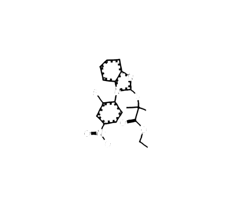 CCOC(=O)C(C)(C)Sc1nc2ccccc2n1-c1ccc([N+](=O)[O-])cc1F